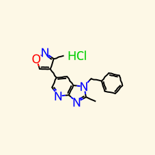 Cc1nocc1-c1cnc2nc(C)n(Cc3ccccc3)c2c1.Cl